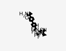 N#CC1(NC(=O)[C@H](CC(F)(F)F)N[C@@H](c2ccc(-c3ccc(C4(C(N)=O)CC4)cc3)cc2)C(F)(F)F)CC1